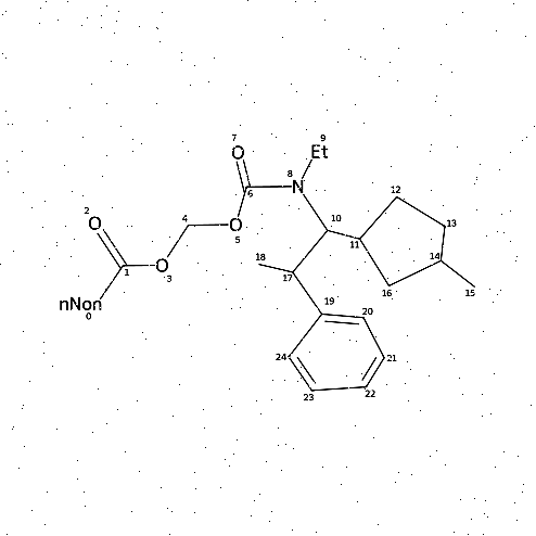 CCCCCCCCCC(=O)OCOC(=O)N(CC)C(C1CCC(C)C1)C(C)c1ccccc1